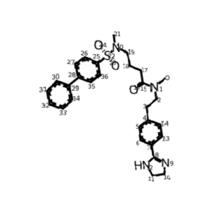 CN(CCc1ccc(C2=NCCN2)cc1)C(=O)CCCN(C)S(=O)(=O)c1ccc(-c2ccccc2)cc1